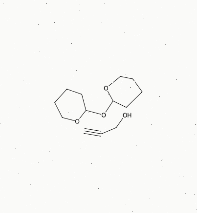 C#CCO.C1CCC(OC2CCCCO2)OC1